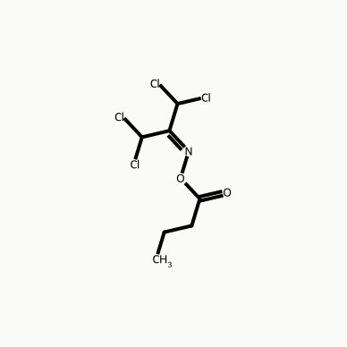 CCCC(=O)ON=C(C(Cl)Cl)C(Cl)Cl